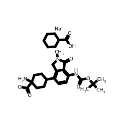 CN1Cc2c(C3CCC(N)(C(=O)[O-])CC3)ccc(NC(=O)OC(C)(C)C)c2C1=O.O=C(O)C1CCCCC1.[Na+]